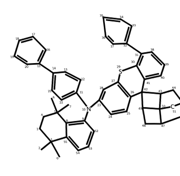 CC1(C)CCC(C)(C)c2c(N(c3ccc(-c4ccccc4)cc3)c3ccc4c(c3)Sc3c(-c5ccccc5)cccc3C43C4CC5CC6CC3C64C5)cccc21